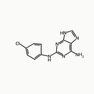 Nc1nc(Nc2ccc(Cl)cc2)nc2[nH]cnc12